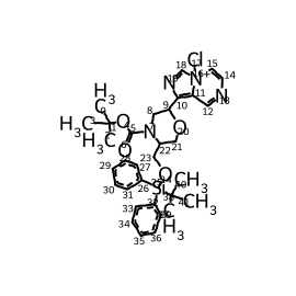 CC(C)(C)OC(=O)N1CC(C2=C3C=NC=C[N+]3(Cl)C=N2)OCC1CO[Si](c1ccccc1)(c1ccccc1)C(C)(C)C